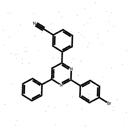 N#Cc1cccc(-c2cc(-c3ccccc3)nc(-c3ccc(Br)cc3)n2)c1